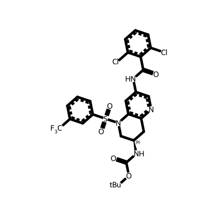 CC(C)(C)OC(=O)N[C@@H]1Cc2ncc(NC(=O)c3c(Cl)cccc3Cl)cc2N(S(=O)(=O)c2cccc(C(F)(F)F)c2)C1